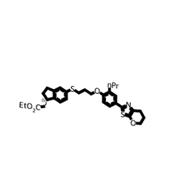 CCCc1cc(-c2nc3c(s2)OCCC3)ccc1OCCCSc1ccc2c(c1)CC[C@H]2CC(=O)OCC